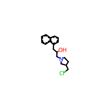 OC(Cc1cccc2ccccc12)CN1CCC(CCl)C1